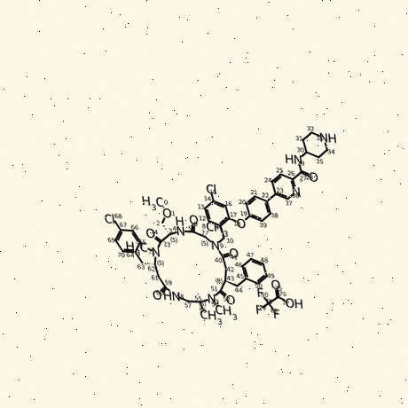 COC[C@@H]1NC(=O)[C@H](C)N(Cc2ccc(Cl)cc2Oc2ccc(-c3ccc(C(=O)NC4CCNCC4)nc3)cc2)C(=O)C[C@@H](Cc2ccccc2)C(=O)N(C)[C@@H](C)CNC(=O)C[C@H](Cc2ccc(Cl)cc2)N(C)C1=O.O=C(O)C(F)(F)F